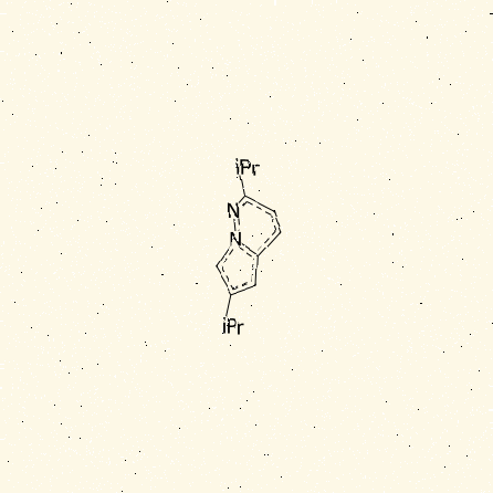 CC(C)c1cc2ccc(C(C)C)nn2c1